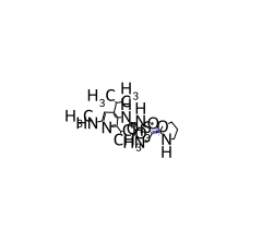 CNc1cc(C(C)C)c(NC(=O)NS(=O)(=O)/C(C=N)=C2/NCCCO2)c(C(C)C)n1